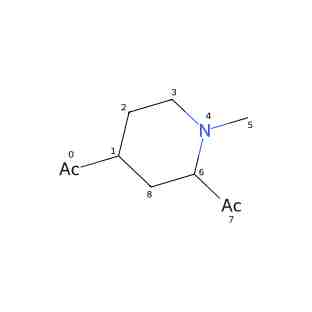 CC(=O)C1CCN(C)C(C(C)=O)C1